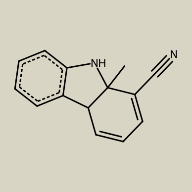 CC12Nc3ccccc3C1C=CC=C2C#N